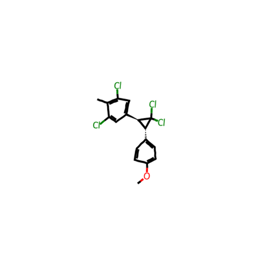 COc1ccc([C@@H]2[C@@H](c3cc(Cl)c(C)c(Cl)c3)C2(Cl)Cl)cc1